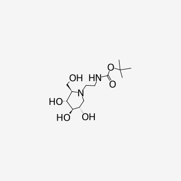 CC(C)(C)OC(=O)NCCN1C[C@H](O)[C@@H](O)[C@H](O)[C@H]1CO